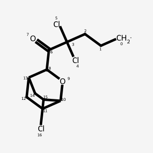 [CH2]CCC(Cl)(Cl)C(=O)[C]1OC2CCC1CC2Cl